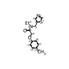 CCN(Cc1cncs1)C(=O)COc1ccc(C)cc1